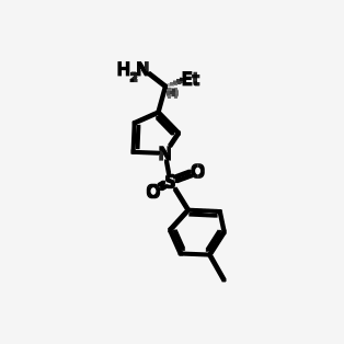 CC[C@@H](N)c1ccn(S(=O)(=O)c2ccc(C)cc2)c1